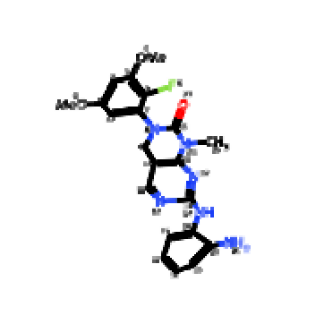 COc1cc(OC)c(F)c(N2Cc3cnc(Nc4ccccc4N)nc3N(C)C2=O)c1